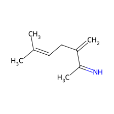 C=C(CC=C(C)C)C(C)=N